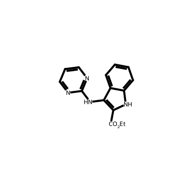 CCOC(=O)c1[nH]c2ccccc2c1Nc1ncccn1